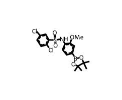 COc1cc(B2OC(C)(C)C(C)(C)O2)ccc1NS(=O)(=O)c1cc(Cl)ccc1Cl